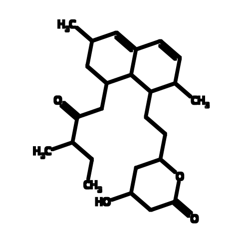 CCC(C)C(=O)CC1CC(C)C=C2C=CC(C)C(CCC3CC(O)CC(=O)O3)C21